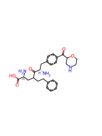 N[C@@H](CC(CCc1ccccc1)C(=O)[C@@H](N)Cc1ccc(C(=O)C2CNCCO2)cc1)C(=O)O